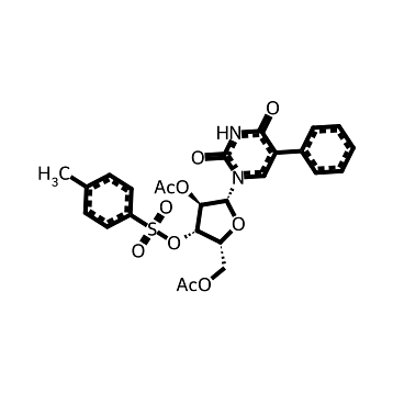 CC(=O)OC[C@H]1O[C@@H](n2cc(-c3ccccc3)c(=O)[nH]c2=O)[C@H](OC(C)=O)[C@H]1OS(=O)(=O)c1ccc(C)cc1